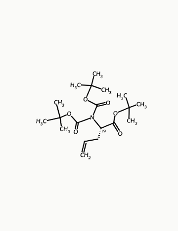 C=CC[C@@H](C(=O)OC(C)(C)C)N(C(=O)OC(C)(C)C)C(=O)OC(C)(C)C